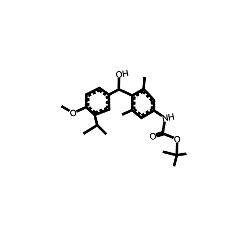 COc1ccc(C(O)c2c(C)cc(NC(=O)OC(C)(C)C)cc2C)cc1C(C)C